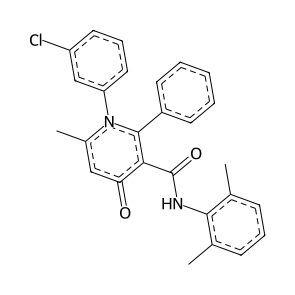 Cc1cccc(C)c1NC(=O)c1c(-c2ccccc2)n(-c2cccc(Cl)c2)c(C)cc1=O